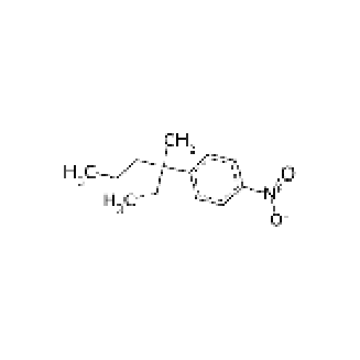 CCCC(C)(CC)c1ccc([N+](=O)[O-])cc1